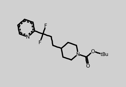 CC(C)(C)OC(=O)N1CCC(CCC(F)(F)c2ccccn2)CC1